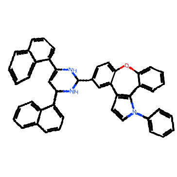 C1=C(c2cccc3ccccc23)NC(c2ccc3c(c2)-c2ccn(-c4ccccc4)c2-c2ccccc2O3)NC1c1cccc2ccccc12